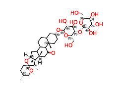 C[C@@H]1CC[C@@]2(OC1)O[C@H]1CC3C4CCC5C[C@H](O[C@@H]6O[C@@H](CO)[C@@H](O[C@@H]7O[C@H](CO)[C@@H](O)[C@H](O)[C@H]7O)[C@H](O)[C@H]6O)CC[C@]5(C)C4C(=O)C[C@]3(C)[C@H]1[C@@H]2C